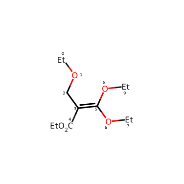 CCOCC(C(=O)OCC)=C(OCC)OCC